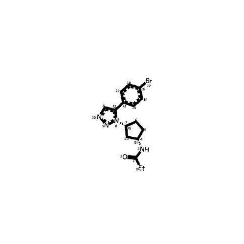 CCC(=O)N[C@H]1CC[C@@H](n2nncc2-c2ccc(Br)cc2)C1